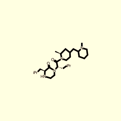 CC(C)C[C@@H]1NCCN([C@@H](CC(C)C)C(=O)N2CCC(CC3CCCCN3C)C[C@@H]2C)C1=O